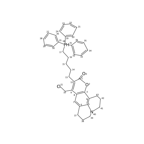 O=c1oc2c3c4c(cc2c(CCl)c1CCCCC[PH](c1ccccc1)(c1ccccc1)c1ccccc1)CCCN4CCC3